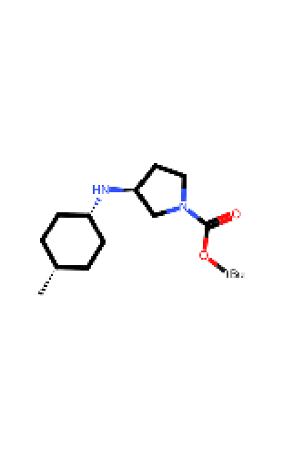 CC(C)(C)OC(=O)N1CC[C@H](N[C@H]2CC[C@@H](C)CC2)C1